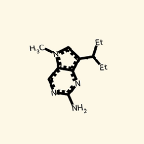 CCC(CC)c1cn(C)c2cnc(N)nc12